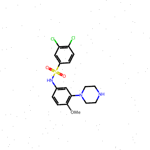 COc1ccc(NS(=O)(=O)c2ccc(Cl)c(Cl)c2)cc1N1CCNCC1